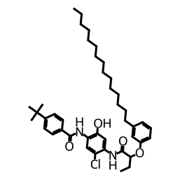 CCCCCCCCCCCCCCCc1cccc(OC(CC)C(=O)Nc2cc(O)c(NC(=O)c3ccc(C(C)(C)C)cc3)cc2Cl)c1